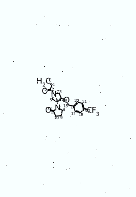 C=CC(=O)N1C[C@@H](N2CCCC2=O)[C@H](OCc2ccc(C(F)(F)F)cc2)C1